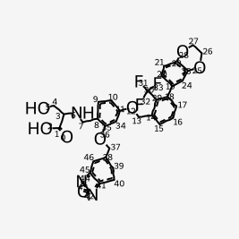 O=C(O)C(CO)NCc1ccc(OCc2cccc(-c3ccc4c(c3)OCCO4)c2C(F)(F)F)cc1OCc1ccc2nonc2c1